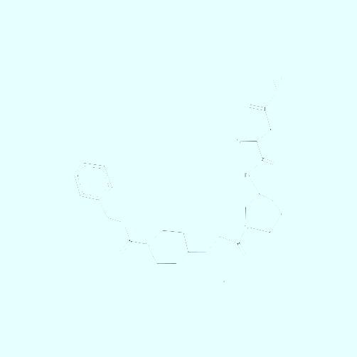 COC(=O)CC(N)C(=O)NC1CCCN(C(=O)CCC2CCN(C(=O)OCc3ccccc3)CC2)C1.Cl